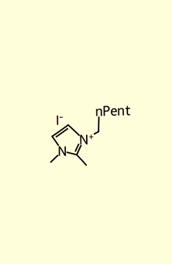 CCCCCC[n+]1ccn(C)c1C.[I-]